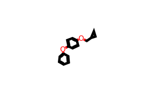 c1ccc(Oc2ccc(OCC3CC3)cc2)cc1